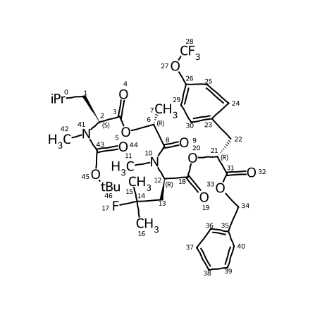 CC(C)C[C@@H](C(=O)O[C@H](C)C(=O)N(C)[C@H](CC(C)(C)F)C(=O)O[C@H](Cc1ccc(OC(F)(F)F)cc1)C(=O)OCc1ccccc1)N(C)C(=O)OC(C)(C)C